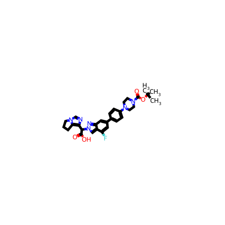 CC(C)(C)OC(=O)N1CCN(c2ccc(-c3cc(F)c4cn(C(C(=O)O)c5ncn6c5CCC6)nc4c3)cc2)CC1